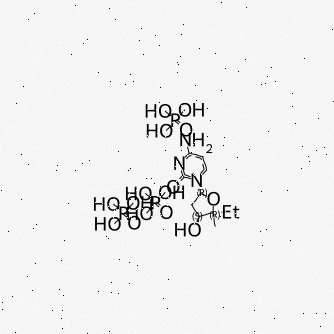 CC[C@@]1(C)O[C@@H](n2ccc(N)nc2=O)C[C@@H]1O.O=P(O)(O)O.O=P(O)(O)O.O=P(O)(O)O